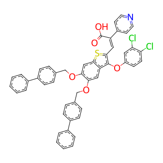 O=C(O)C(=Cc1sc2cc(OCc3ccc(-c4ccccc4)cc3)c(OCc3ccc(-c4ccccc4)cc3)cc2c1Oc1ccc(Cl)c(Cl)c1)c1ccncc1